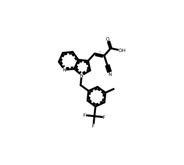 Cc1cc(Cn2cc(/C=C(\C#N)C(=O)O)c3cccnc32)cc(C(F)(F)F)c1